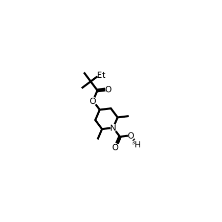 [3H]OC(=O)N1C(C)CC(OC(=O)C(C)(C)CC)CC1C